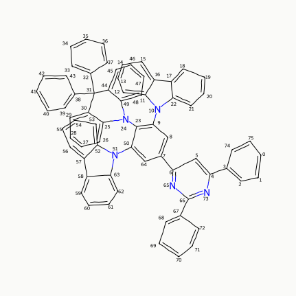 c1ccc(-c2cc(-c3cc(-n4c5ccccc5c5ccccc54)c(N4c5ccccc5C(c5ccccc5)(c5ccccc5)c5ccccc54)c(-n4c5ccccc5c5ccccc54)c3)nc(-c3ccccc3)n2)cc1